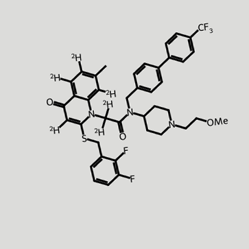 [2H]c1c(C)c([2H])c2c(c1[2H])c(=O)c([2H])c(SCc1cccc(F)c1F)n2C([2H])([2H])C(=O)N(Cc1ccc(-c2ccc(C(F)(F)F)cc2)cc1)C1CCN(CCOC)CC1